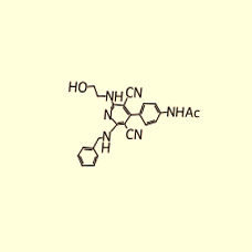 CC(=O)Nc1ccc(-c2c(C#N)c(NCCO)nc(NCc3ccccc3)c2C#N)cc1